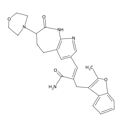 Cc1oc2ccccc2c1CC(=Cc1cnc2c(c1)CCC(N1CCOCC1)C(=O)N2)C(N)=O